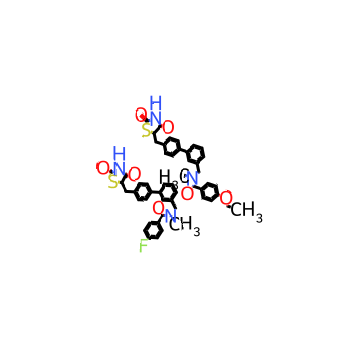 CCOc1ccc(C(=O)N(C)Cc2cccc(-c3ccc(CC4SC(=O)NC4=O)cc3)c2)cc1.CN(Cc1cccc(-c2ccc(CC3SC(=O)NC3=O)cc2)c1)C(=O)c1ccc(F)cc1